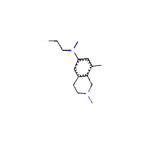 CNCCN(C)c1cc(C)c2c(c1)CCN(C)C2